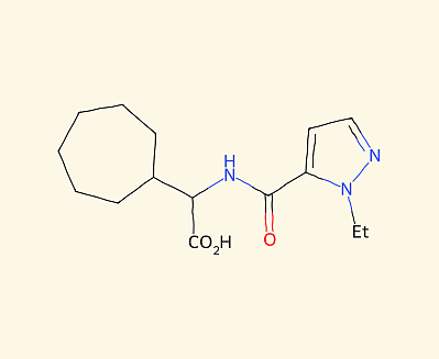 CCn1nccc1C(=O)NC(C(=O)O)C1CCCCCC1